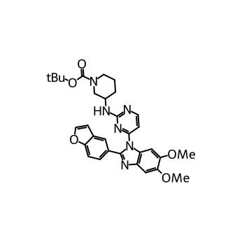 COc1cc2nc(-c3ccc4occc4c3)n(-c3ccnc(NC4CCCN(C(=O)OC(C)(C)C)C4)n3)c2cc1OC